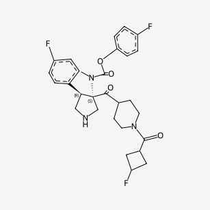 CN(C(=O)Oc1ccc(F)cc1)[C@]1(C(=O)C2CCN(C(=O)C3CC(F)C3)CC2)CNC[C@H]1c1ccc(F)cc1